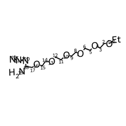 CCOCCOCCOCCOCCOCCOCC(N)N=[N+]=[N-]